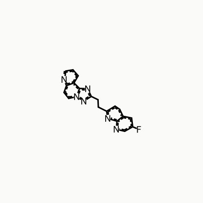 Fc1cnc2nc(CCc3nc4c5cccnc5ccn4n3)ccc2c1